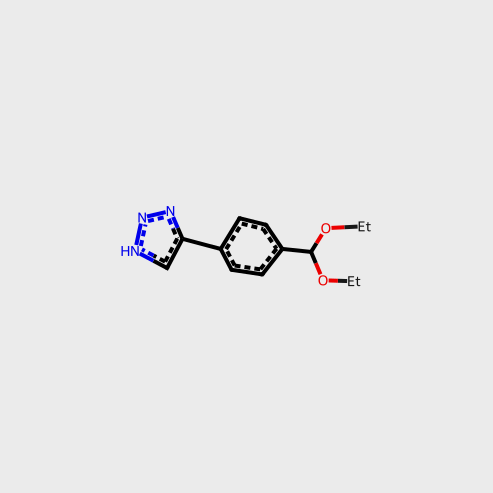 CCOC(OCC)c1ccc(-c2c[nH]nn2)cc1